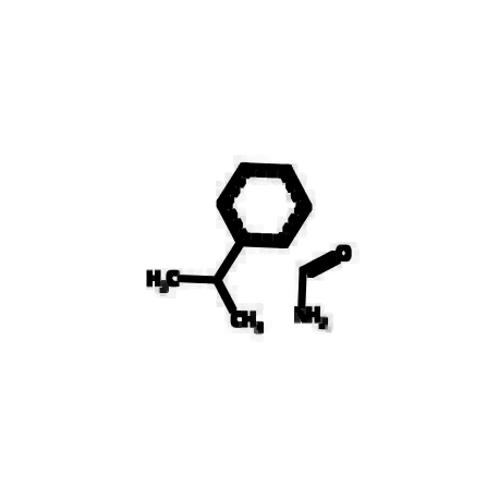 CC(C)c1ccccc1.NC=O